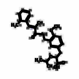 COc1ccc(CC(OC(C)C)C(=O)O)cc1CNC(=O)/C(C)=C/c1ccccc1C